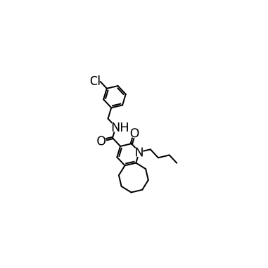 CCCCn1c2c(cc(C(=O)NCc3cccc(Cl)c3)c1=O)CCCCCC2